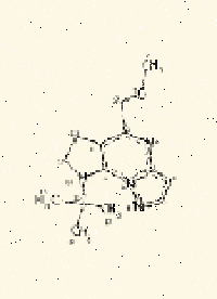 COCc1nc2ccnn2c2c1CCN2C(C)(C)C